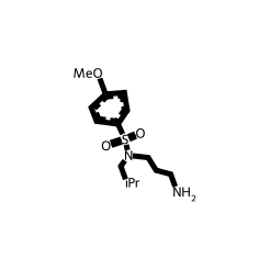 COc1ccc(S(=O)(=O)N(CCCN)CC(C)C)cc1